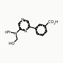 CCCN(CO)c1cncc(-c2cccc(C(=O)O)c2)n1